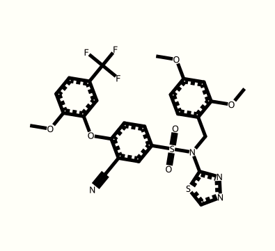 COc1ccc(CN(c2nncs2)S(=O)(=O)c2ccc(Oc3cc(C(F)(F)F)ccc3OC)c(C#N)c2)c(OC)c1